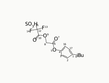 CCC(C)c1ccc(OC(=O)COC(=O)C(F)(F)S(=O)(=O)O)cc1